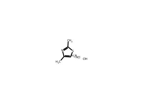 Cc1csc(C)n1.Cl.Cl.N